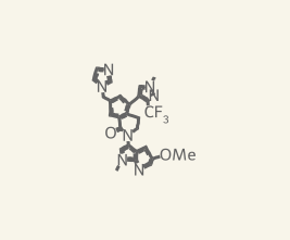 COc1cnc2c(c1)c(N1CCc3c(cc(Cn4ccnc4)cc3-c3cn(C)nc3C(F)(F)F)C1=O)cn2C